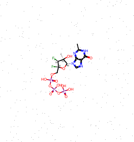 Cc1nc2c(ncn2[C@@H]2O[C@](F)(COP(=O)(O)OP(=O)(O)OP(=O)(O)O)[C@@H](F)[C@@]2(C)O)c(=O)[nH]1